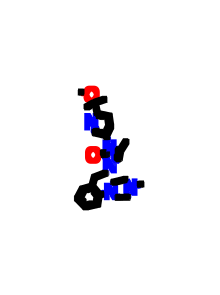 COC(C)(C)c1ccc(-n2c(C)cn(CCc3ccccc3N3CCN(C)CC3)c2=O)cn1